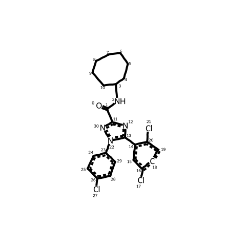 O=C(NC1CCCCCCC1)c1nc(-c2cc(Cl)ccc2Cl)n(-c2ccc(Cl)cc2)n1